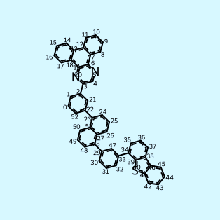 c1cc(-c2cnc3c4ccccc4c4ccccc4c3n2)cc(-c2cccc3c(-c4cccc(-c5cccc6c5sc5ccccc56)c4)cccc23)c1